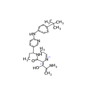 C=C(N)/C(O)=C(\N=C/C)C(=O)NC(CC)c1ccc(Nc2ccc(C(C)(C)C)cc2)nc1